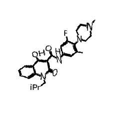 Cc1cc(NC(=O)c2c(O)c3ccccc3n(CC(C)C)c2=O)cc(F)c1N1CCN(C)CC1